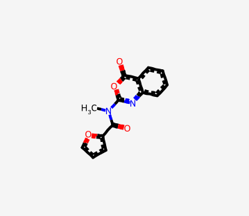 CN(C(=O)c1ccco1)c1nc2ccccc2c(=O)o1